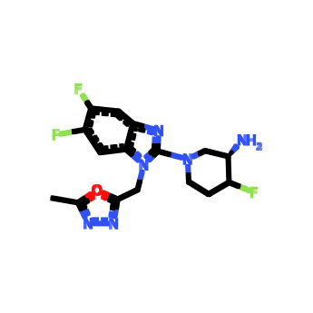 Cc1nnc(Cn2c(N3CCC(F)[C@H](N)C3)nc3cc(F)c(F)cc32)o1